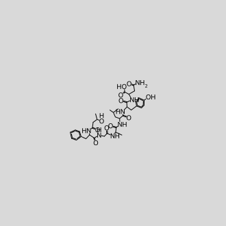 CC(C)CC(NC(=O)C(C)NC(=O)CNC(=O)C(Cc1ccccc1)NC(=O)CC(C)O)C(=O)NC(Cc1ccc(O)cc1)C(=O)NC(CC(N)=O)C(=O)O